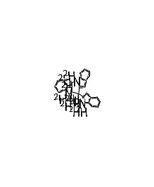 [2H]C(c1cc2ccccc2n1C([2H])([2H])[2H])(c1cc2ccccc2n1C([2H])([2H])[2H])c1cc2ccccc2n1C([2H])([2H])[2H]